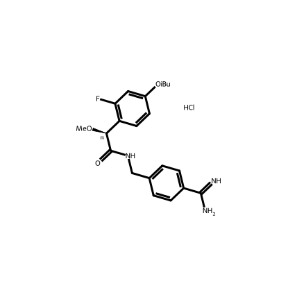 CO[C@H](C(=O)NCc1ccc(C(=N)N)cc1)c1ccc(OCC(C)C)cc1F.Cl